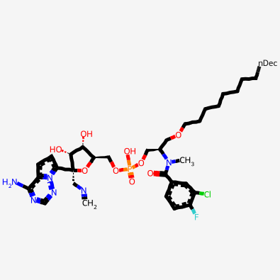 C=NC[C@@]1(c2ccc3c(N)ncnn23)O[C@H](COP(=O)(O)OC[C@@H](COCCCCCCCCCCCCCCCCCC)N(C)C(=O)c2ccc(F)c(Cl)c2)[C@@H](O)[C@H]1O